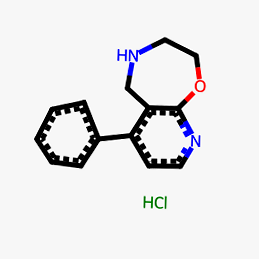 Cl.c1ccc(-c2ccnc3c2CNCCO3)cc1